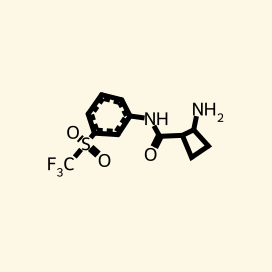 NC1CCC1C(=O)Nc1cccc(S(=O)(=O)C(F)(F)F)c1